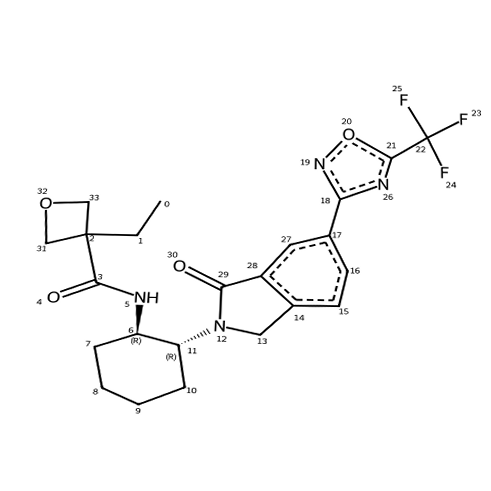 CCC1(C(=O)N[C@@H]2CCCC[C@H]2N2Cc3ccc(-c4noc(C(F)(F)F)n4)cc3C2=O)COC1